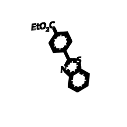 CCOC(=O)c1ccc(-c2nc3ccccc3s2)cc1